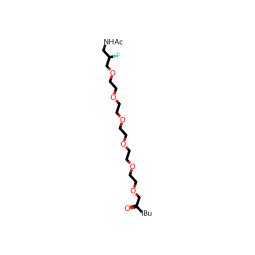 CCC(C)C(=O)COCCOCCOCCOCCOCCOCC(F)CNC(C)=O